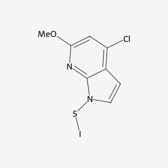 COc1cc(Cl)c2ccn(SI)c2n1